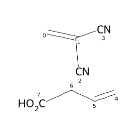 C=C(C#N)C#N.C=CCC(=O)O